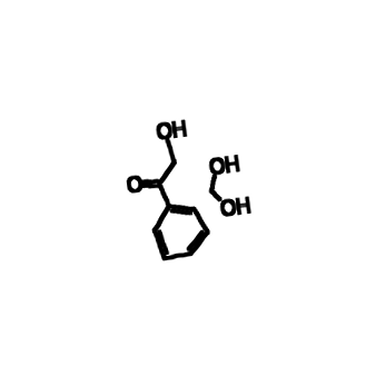 O=C(CO)c1ccccc1.OCO